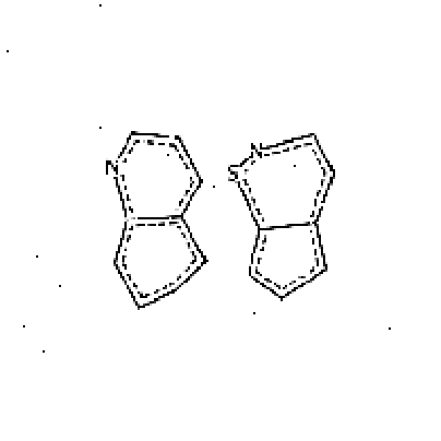 c1cc2ccnsc-2c1.c1ccc2ncccc2c1